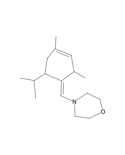 CC1=CC(C)C(=CN2CCOCC2)C(C(C)C)C1